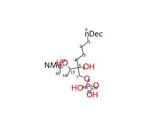 CCCCCCCCCCCCCCC(O)(COP(=O)(O)O)C(C)O.CNC